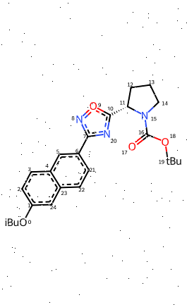 CC(C)COc1ccc2cc(-c3noc([C@@H]4CCCN4C(=O)OC(C)(C)C)n3)ccc2c1